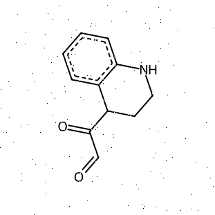 O=CC(=O)C1CCNc2ccccc21